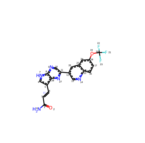 NC(=O)/C=C/c1c[nH]c2ncc(-c3cnc4ccc(OC(F)(F)F)cc4c3)nc12